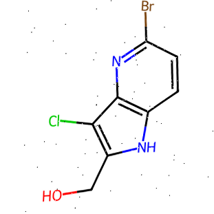 OCc1[nH]c2ccc(Br)nc2c1Cl